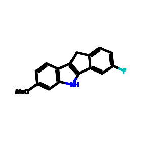 COc1ccc2c3c([nH]c2c1)-c1cc(F)ccc1C3